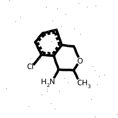 CC1OCc2cccc(Cl)c2C1N